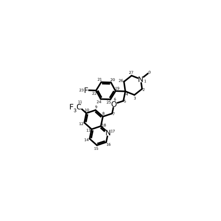 CN1CCC(COCc2cc(C(F)(F)F)cc3cccnc23)(c2ccc(F)cc2)CC1